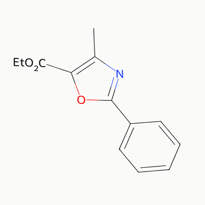 CCOC(=O)c1oc(-c2ccccc2)nc1C